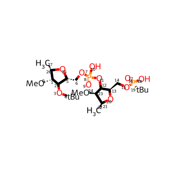 CO[C@H]1C(OC(C)(C)C)[C@@H](COP(=O)(O)OC2[C@@H](COP(=O)(O)C(C)(C)C)O[C@@H](C)[C@H]2OC)O[C@H]1C